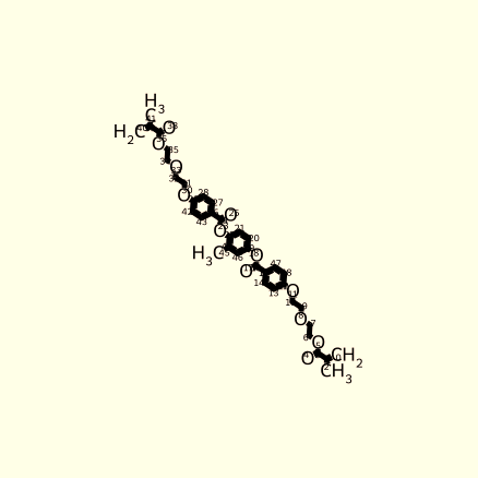 C=C(C)C(=O)OCCOCCOc1ccc(C(=O)Oc2ccc(OC(=O)c3ccc(OCCOCCOC(=O)C(=C)C)cc3)c(C)c2)cc1